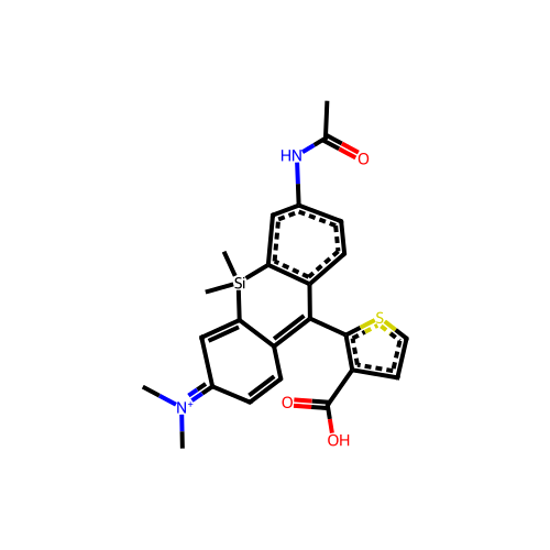 CC(=O)Nc1ccc2c(c1)[Si](C)(C)C1=CC(=[N+](C)C)C=CC1=C2c1sccc1C(=O)O